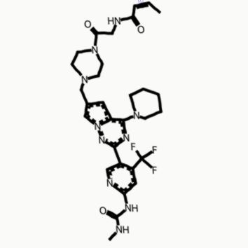 C/C=C\C(=O)NCC(=O)N1CCN(Cc2cc3c(N4CCCCC4)nc(-c4cnc(NC(=O)NC)cc4C(F)(F)F)nn3c2)CC1